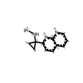 CC(C)NC1(c2ccc3cccnc3n2)CC1